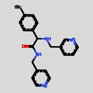 CC(C)(C)c1ccc(C(NCc2cccnc2)C(=O)NCc2ccncc2)cc1